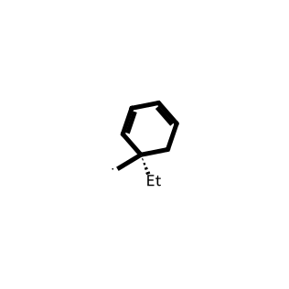 [CH2][C@@]1(CC)C=CC=CC1